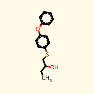 CCC(O)CSc1ccc(Oc2ccccc2)cc1